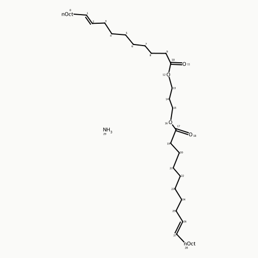 CCCCCCCCC=CCCCCCCCC(=O)OCCCOC(=O)CCCCCCCC=CCCCCCCCC.N